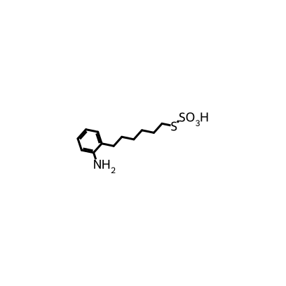 Nc1ccccc1CCCCCCSS(=O)(=O)O